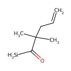 C=CCC(C)(C)C(=O)[SiH2]